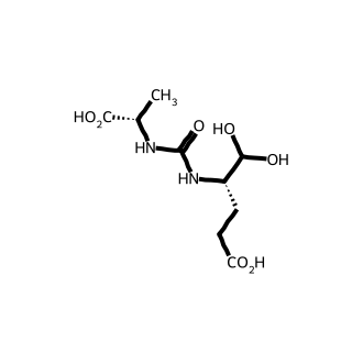 C[C@H](NC(=O)N[C@@H](CCC(=O)O)C(O)O)C(=O)O